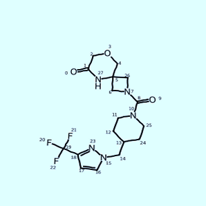 O=C1COCC2(CN(C(=O)N3CCC(Cn4ccc(C(F)(F)F)n4)CC3)C2)N1